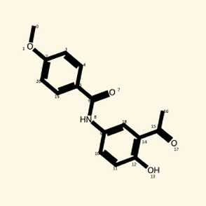 COc1ccc(C(=O)Nc2ccc(O)c(C(C)=O)c2)cc1